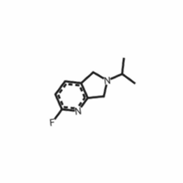 CC(C)N1Cc2ccc(F)nc2C1